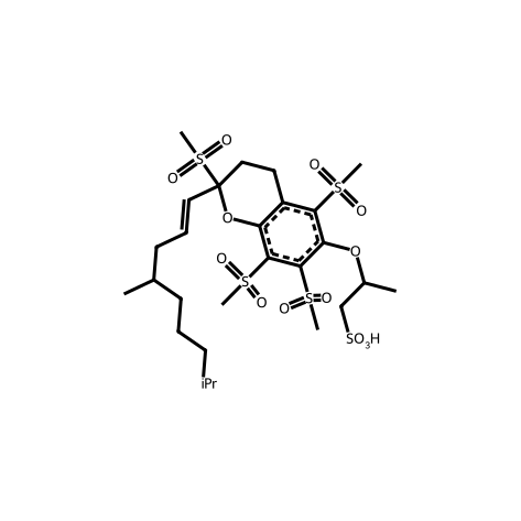 CC(C)CCCC(C)C/C=C/C1(S(C)(=O)=O)CCc2c(c(S(C)(=O)=O)c(S(C)(=O)=O)c(OC(C)CS(=O)(=O)O)c2S(C)(=O)=O)O1